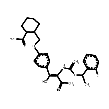 C=C(N/C(C(C)=N)=C(/O)c1ccc(OCC2CCCCC2C(=O)OC)cc1)OC(C)c1ccccc1Cl